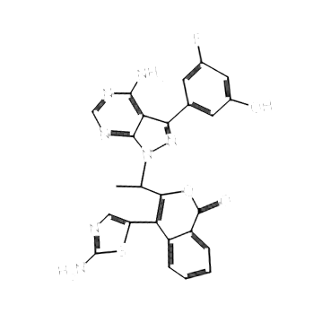 CC(c1oc(=O)c2ccccc2c1-c1cnc(N)s1)n1nc(-c2cc(O)cc(F)c2)c2c(N)ncnc21